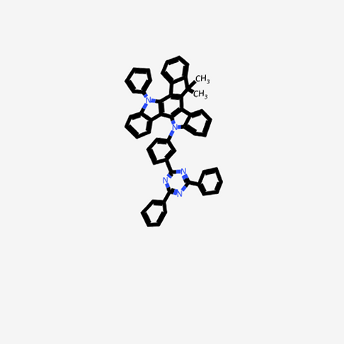 CC1(C)c2ccccc2-c2c1c1c3ccccc3n(-c3cccc(-c4nc(-c5ccccc5)nc(-c5ccccc5)n4)c3)c1c1c3ccccc3n(-c3ccccc3)c21